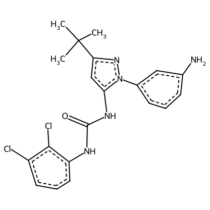 CC(C)(C)c1cc(NC(=O)Nc2cccc(Cl)c2Cl)n(-c2cccc(N)c2)n1